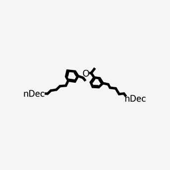 CCCCCCCCCCCCCCCc1cccc(C(C)OC(C)c2cccc(CCCCCCCCCCCCCCC)c2)c1